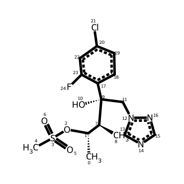 C[C@H](OS(C)(=O)=O)[C@H](C)[C@](O)(Cn1cncn1)c1ccc(Cl)cc1F